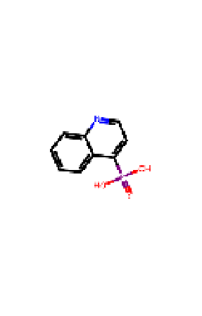 O=P(O)(O)c1ccnc2ccccc12